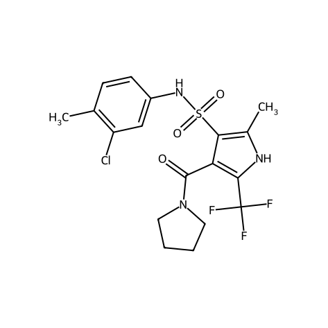 Cc1ccc(NS(=O)(=O)c2c(C)[nH]c(C(F)(F)F)c2C(=O)N2CCCC2)cc1Cl